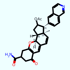 CC(=O)OC1C[C@H]2[C@@H]3OC4=C(C=C3C=C[C@]2(C)[C@H]1c1ccc2cnccc2c1)C(=O)CC(C(N)=O)C4